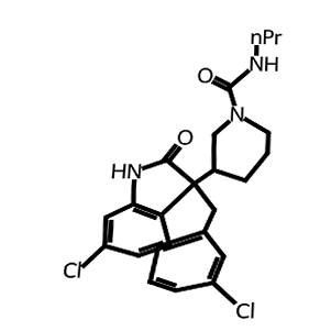 CCCNC(=O)N1CCCC(C2(Cc3cccc(Cl)c3)C(=O)Nc3cc(Cl)ccc32)C1